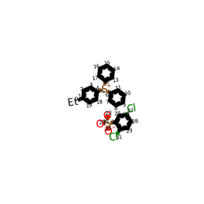 CCc1ccc([S+](c2ccccc2)c2ccccc2)cc1.O=S(=O)([O-])c1cc(Cl)ccc1Cl